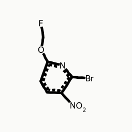 O=[N+]([O-])c1ccc(OCF)nc1Br